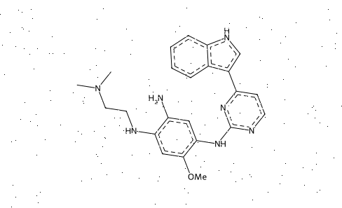 COc1cc(NCCN(C)C)c(N)cc1Nc1nccc(-c2c[nH]c3ccccc23)n1